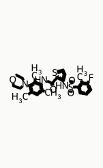 Cc1cc(C)c(N2CCOCC2)c(C)c1NC(=O)c1sccc1NS(=O)(=O)c1cccc(F)c1C